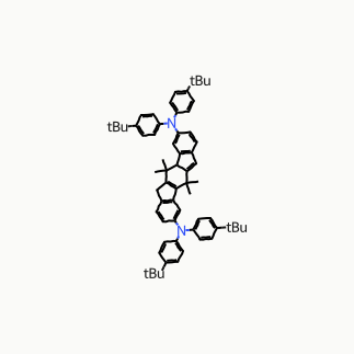 CC1(C)C2=Cc3ccc(N(c4ccc(C(C)(C)C)cc4)c4ccc(C(C)(C)C)cc4)cc3C2C(C)(C)C2=C1c1cc(N(c3ccc(C(C)(C)C)cc3)c3ccc(C(C)(C)C)cc3)ccc1C2